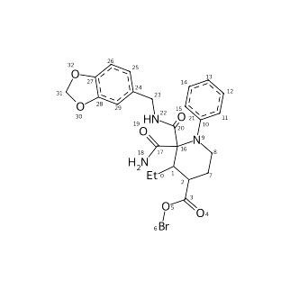 CCC1C(C(=O)OBr)CCN(c2ccccc2)C1(C(N)=O)C(=O)NCc1ccc2c(c1)OCO2